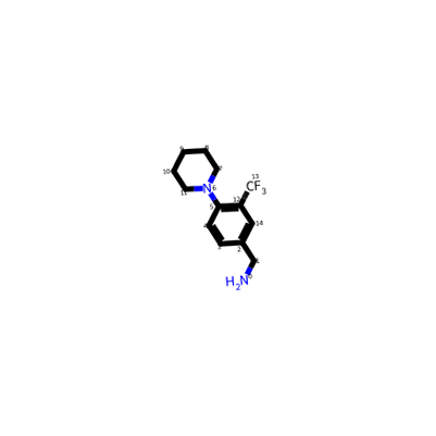 NCc1ccc(N2CCCCC2)c(C(F)(F)F)c1